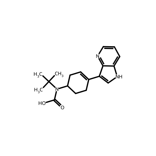 CC(C)(C)N(C(=O)O)C1CC=C(c2c[nH]c3cccnc23)CC1